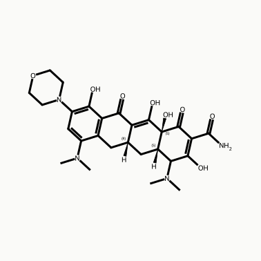 CN(C)c1cc(N2CCOCC2)c(O)c2c1C[C@H]1C[C@H]3C(N(C)C)C(O)=C(C(N)=O)C(=O)[C@@]3(O)C(O)=C1C2=O